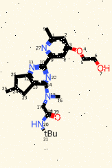 Cc1cc(OCCO)cc(-c2nc3c(c(N(C)CC(=O)NC(C)(C)C)n2)CC(C)C3)n1